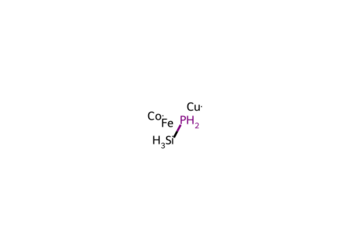 [Co].[Cu].[Fe].[SiH3]P